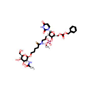 COP(=O)(O)OC1[C@@H](COC(=O)OCc2ccccc2)O[C@@H](n2ccc(=O)[nH]c2=O)[C@H]1CCCNC(=S)CCCCO[C@@H]1O[C@H](CO)[C@H](O)[C@H](O)[C@H]1NC(C)=O